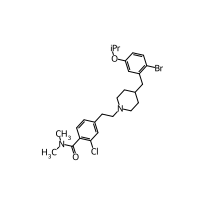 CC(C)Oc1ccc(Br)c(CC2CCN(CCc3ccc(C(=O)N(C)C)c(Cl)c3)CC2)c1